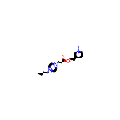 CCCCN1CCN(CCC(=O)OCCC2CCCNC2)CC1